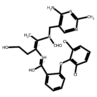 C/C(=C(CCO)/[SH]=C(\O)c1ccccc1Oc1c(Cl)cccc1Cl)N(C=O)Cc1cnc(C)nc1N